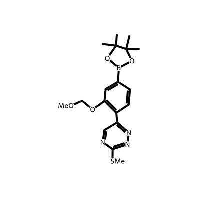 COCOc1cc(B2OC(C)(C)C(C)(C)O2)ccc1-c1cnc(SC)nn1